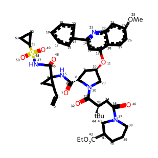 C=CC1CC1(NC(=O)[C@@H]1C[C@@H](Oc2cc(-c3ccccc3)nc3cc(OC)ccc23)CN1C(=O)[C@@H](CC(=O)N1CCCC(C(=O)OCC)C1)C(C)(C)C)C(=O)NS(=O)(=O)C1CC1